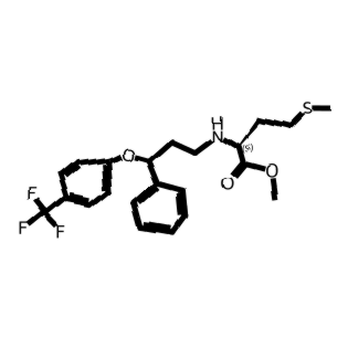 COC(=O)[C@H](CCSC)NCCC(Oc1ccc(C(F)(F)F)cc1)c1ccccc1